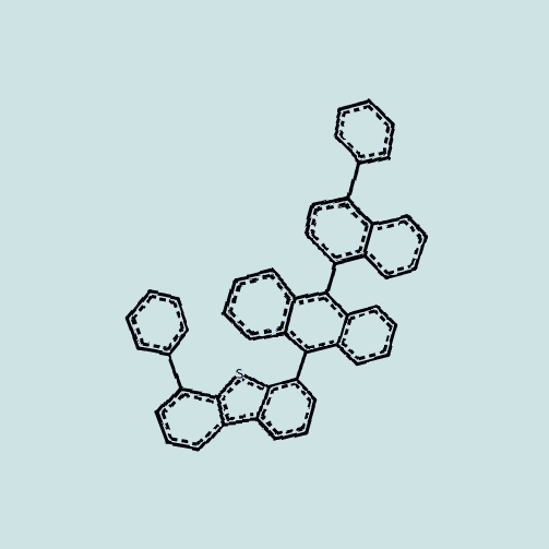 c1ccc(-c2ccc(-c3c4ccccc4c(-c4cccc5c4sc4c(-c6ccccc6)cccc45)c4ccccc34)c3ccccc23)cc1